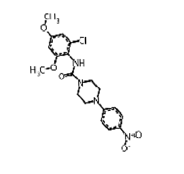 COc1cc(Cl)c(NC(=O)N2CCN(c3ccc([N+](=O)[O-])cc3)CC2)c(OC)c1